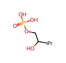 CC(C)C(O)COP(=O)(O)O